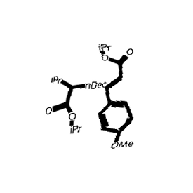 CCCCCCCCCCC(C(=O)OC(C)C)C(C)C.COc1ccc(C=CC(=O)OC(C)C)cc1